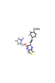 COc1ccc(C#Cc2nc3cscc3nc2OCC2CCCN2C)cc1